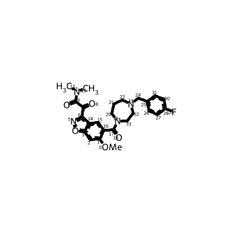 COc1cc2onc(C(=O)C(=O)N(C)C)c2cc1C(=O)N1CCCN(Cc2ccc(F)cc2)CC1